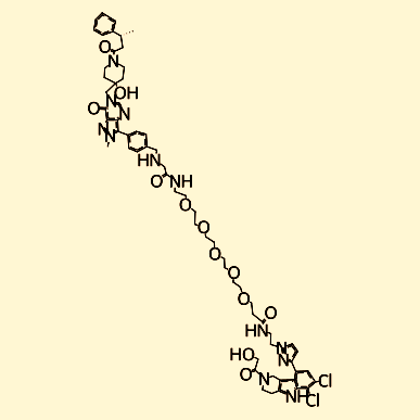 C[C@H](CC(=O)N1CCC(O)(Cn2cnc3c(-c4ccc(CNCC(=O)NCCOCCOCCOCCOCCOCCC(=O)NCCn5ccc(-c6cc(Cl)c(Cl)c7[nH]c8c(c67)CN(C(=O)CO)CC8)n5)cc4)n(C)nc3c2=O)CC1)c1ccccc1